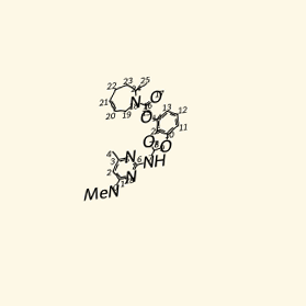 CNc1cc(C)nc(NC2Oc3cccc(OC(=O)N4CC=CCCC4C)c3O2)n1